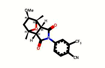 CO[C@@H]1C[C@]2(C)O[C@@]1(C)[C@@H]1C(=O)N(c3ccc(C#N)c(C(F)(F)F)c3)C(=O)[C@@H]12